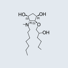 CCCCCCCN(C)[C@H]1[C@H](OCC(O)CCCC)[C@H](O)C[C@@H]1O